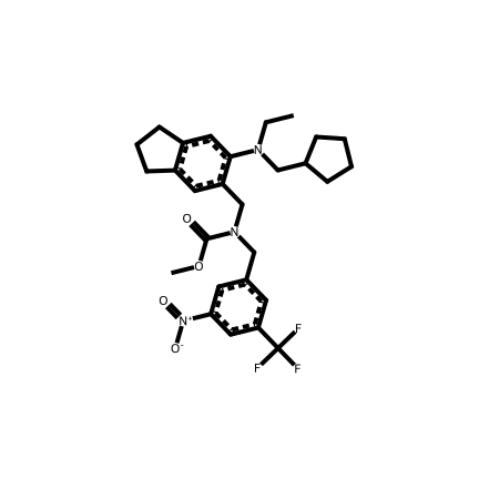 CCN(CC1CCCC1)c1cc2c(cc1CN(Cc1cc([N+](=O)[O-])cc(C(F)(F)F)c1)C(=O)OC)CCC2